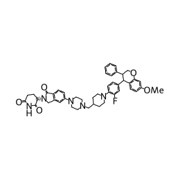 COc1ccc2c(c1)OCC(c1ccccc1)C2c1ccc(N2CCC(CN3CCN(c4ccc5c(c4)CN([C@H]4CCC(=O)NC4=O)C5=O)CC3)CC2)c(F)c1